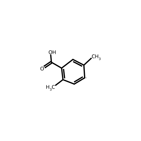 Cc1[c]cc(C)c(C(=O)O)c1